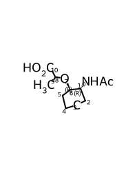 CC(=O)N[C@@H]1CCCC[C@H]1OC(C)C(=O)O